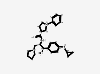 O=C(N[C@H](CN1CCCC1)[C@H](O)c1ccc(OC2CC2)cc1)[C@@H]1CCN(c2ccccc2)C1